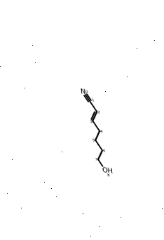 N#C/C=C/CCCCO